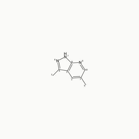 Cc1[c]c2c(C)n[nH]c2nc1